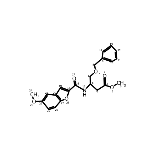 COC(=O)CC(COCc1ccccc1)NC(=O)c1cc2cc(OC)ccc2o1